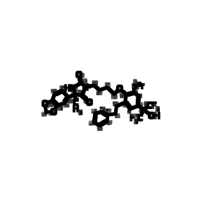 CCCc1cc(C(O)(C(F)(F)F)C(F)(F)F)cc(CCc2ccccc2)c1OCCCCN1C(=O)NC(C)(c2ccc3c(c2)OCO3)C1=O